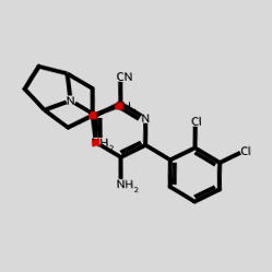 CC1(N)CC2CCC(C1)N2c1nc(N)c(-c2cccc(Cl)c2Cl)nc1C#N